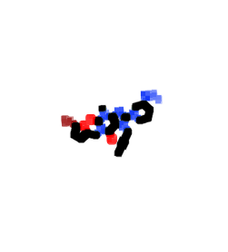 CC#CCn1c(N2CCC[C@@H](N)C2)nc2c1c(=O)n(Cc1ccc(Br)o1)c(=O)n2C